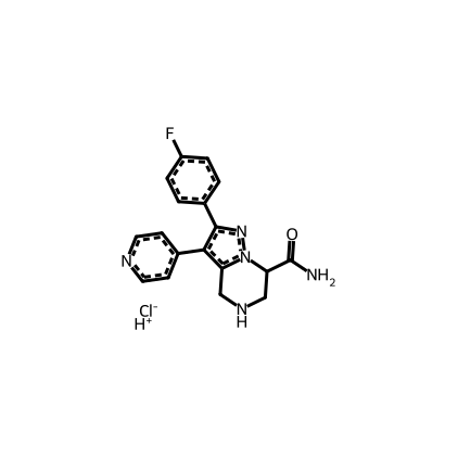 NC(=O)C1CNCc2c(-c3ccncc3)c(-c3ccc(F)cc3)nn21.[Cl-].[H+]